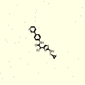 CCC(C(=O)Nc1ccc(-c2cccnc2)cc1)c1csc(NSC2CC2)n1